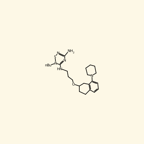 CCCCN1SN=C(N)N=C1NCCCOC1CCc2cccc(N3CCCCC3)c2C1